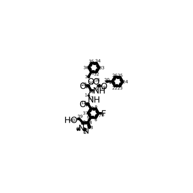 Cn1ncc(-c2cc(F)cc(C(=O)NC[C@@H](NC(=O)OCc3ccccc3)C(=O)OCc3ccccc3)c2)c1CO